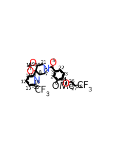 COc1cc(C(=O)N2CCC3(c4cccc(C(F)(F)F)n4)OCOC3C2)ccc1OCCC(F)(F)F